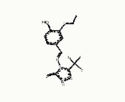 CCOc1cc(C=Nn2c(C(F)(F)F)n[nH]c2=S)ccc1O